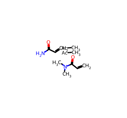 C=CC(=O)N(C)C.C=CC(N)=O.CC(C)=O.CC(C)=O